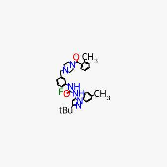 Cc1ccc(-n2nc(C(C)(C)C)cc2NC(=O)Nc2cc(CN3CCN(C(=O)c4ccccc4C)CC3)ccc2F)cc1